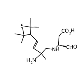 CC(N)(/C=C/C1C(C)(C)SC1(C)C)CN[C@H](C=O)CC(=O)O